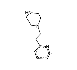 [c]1cccc(CCN2CCNCC2)n1